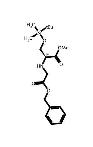 COC(=O)[C@H](CO[Si](C)(C)C(C)(C)C)NCC(=O)OCc1ccccc1